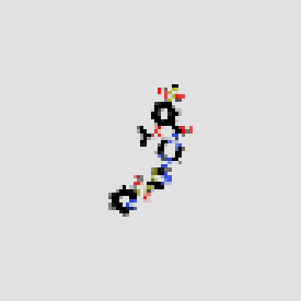 CC(C)Oc1ccc(S(C)(=O)=O)cc1C(=O)N1CCN(c2ncc(S(=O)(=O)c3ccccn3)s2)CC1